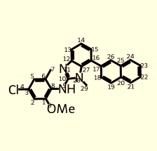 COc1cc(Cl)cc(C)c1Nc1nc2cccc(-c3ccc4ccccc4c3)c2n1C